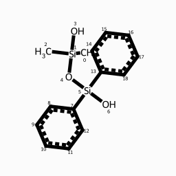 C[Si](C)(O)O[Si](O)(c1ccccc1)c1ccccc1